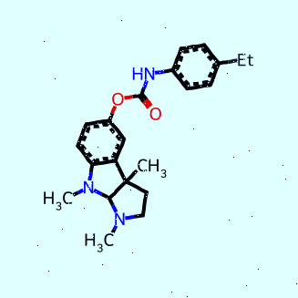 CCc1ccc(NC(=O)Oc2ccc3c(c2)C2(C)CCN(C)C2N3C)cc1